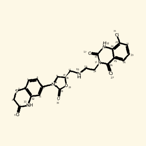 O=C1CSc2ccc(N3C[C@@H](CNCCn4c(=O)[nH]c5c(Cl)cccc5c4=O)OC3=O)cc2N1